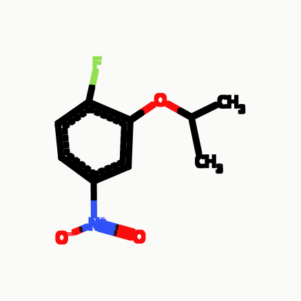 CC(C)Oc1cc([N+](=O)[O-])ccc1F